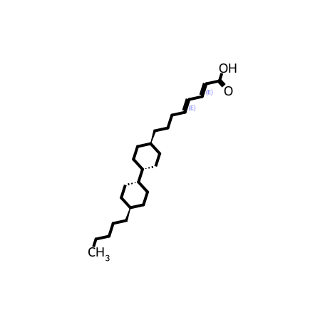 CCCCC[C@H]1CC[C@H]([C@H]2CC[C@H](CCC/C=C/C=C/C(=O)O)CC2)CC1